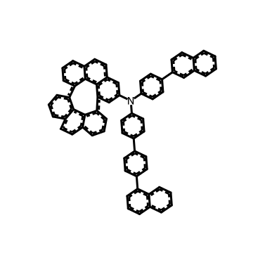 c1ccc2cc(-c3ccc(N(c4ccc(-c5ccc(-c6cccc7ccccc67)cc5)cc4)c4cc5ccc6cccc7c8cccc9ccc%10cccc(c(c4)c5c67)c%10c98)cc3)ccc2c1